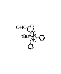 CC(C)(C)[C@H](c1nc(-c2ccccc2)nn1Cc1ccccc1)N1CC(C=O)COCC1=O